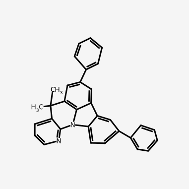 CC1(C)c2cccnc2-n2c3ccc(-c4ccccc4)cc3c3cc(-c4ccccc4)cc1c32